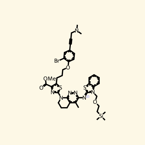 COC(=O)c1nc(N2CCCc3c2nnc(/N=c2\sc4ccccc4n2COCC[Si](C)(C)C)c3C)sc1CCCOc1ccc(C#CCN(C)C)cc1Br